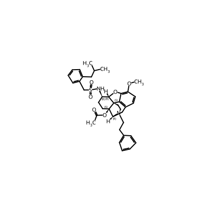 COc1ccc2c3c1O[C@H]1[C@H](NS(=O)(=O)Cc4ccccc4CC(C)C)CC[C@@]4(OC(C)=O)[C@@H](C2)N(CCc2ccccc2)CC[C@]314